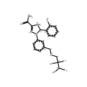 NC(=O)C1=NN(c2cccc(COCC(F)(F)C(F)F)c2)C(c2ccccc2F)N1